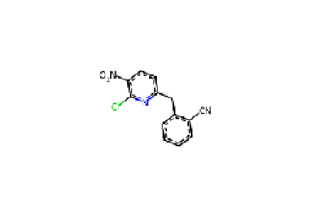 N#Cc1ccccc1Cc1ccc([N+](=O)[O-])c(Cl)n1